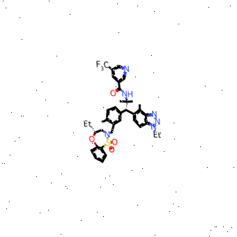 CC[C@@H]1CN(Cc2cc([C@@H](c3ccc4c(nnn4CC)c3C)C(C)(C)NC(=O)c3cncc(C(F)(F)F)c3)ccc2C)S(=O)(=O)c2ccccc2O1